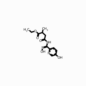 CCOC(=O)C(C)CC(=O)N/C(=N/O)c1ccc(O)cn1